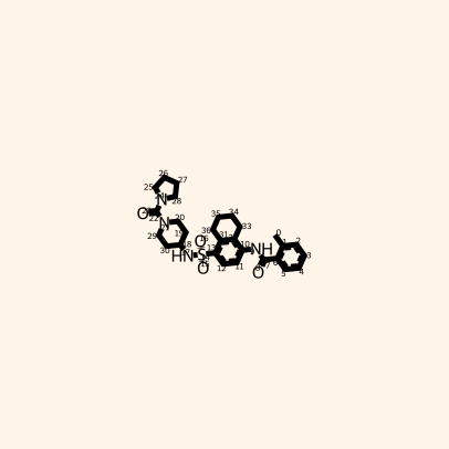 Cc1ccccc1C(=O)Nc1ccc(S(=O)(=O)NC2CCN(C(=O)N3CCCC3)CC2)c2c1CCCC2